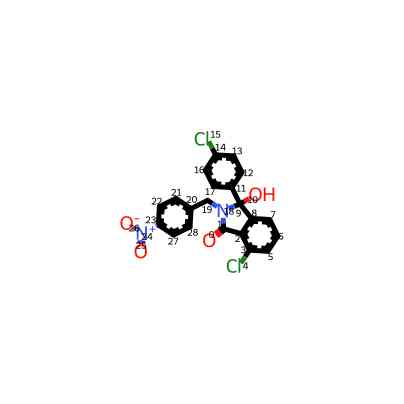 O=C1c2c(Cl)cccc2C(O)(c2ccc(Cl)cc2)N1Cc1ccc([N+](=O)[O-])cc1